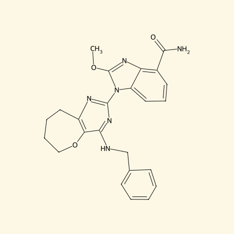 COc1nc2c(C(N)=O)cccc2n1-c1nc2c(c(NCc3ccccc3)n1)OCCCC2